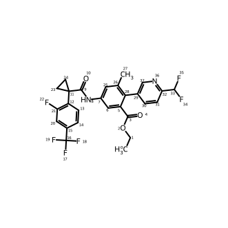 CCOC(=O)c1cc(NC(=O)C2(c3ccc(C(F)(F)F)cc3F)CC2)cc(C)c1-c1ccc(C(F)F)nc1